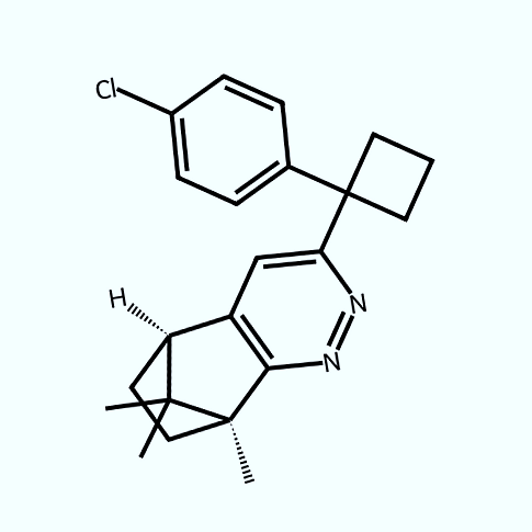 CC1(C)[C@H]2CC[C@]1(C)c1nnc(C3(c4ccc(Cl)cc4)CCC3)cc12